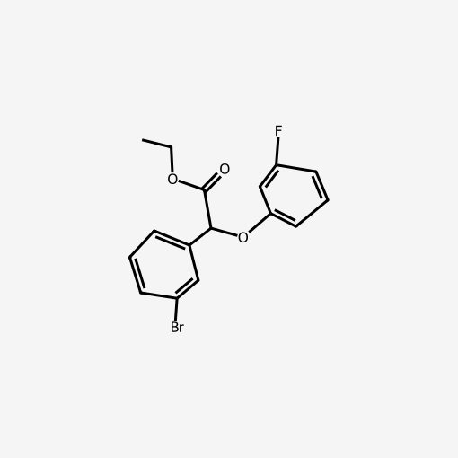 CCOC(=O)C(Oc1cccc(F)c1)c1cccc(Br)c1